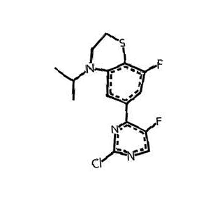 CC(C)N1CCSc2c(F)cc(-c3nc(Cl)ncc3F)cc21